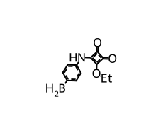 Bc1ccc(Nc2c(OCC)c(=O)c2=O)cc1